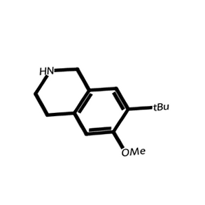 COc1cc2c(cc1C(C)(C)C)CNCC2